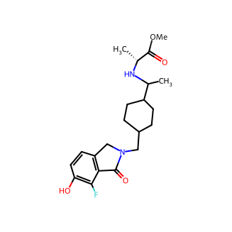 COC(=O)[C@@H](C)NC(C)C1CCC(CN2Cc3ccc(O)c(F)c3C2=O)CC1